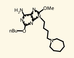 CCCCOc1nc(N)c2nc(OC)n(CCCCN3CCCCCC3)c2n1